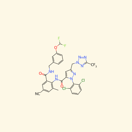 Cc1cc(C#N)cc(C(=O)NCc2cccc(OC(F)F)c2)c1NC(=O)c1cc(Cn2nnc(C(F)(F)F)n2)nn1-c1c(Cl)cccc1Cl